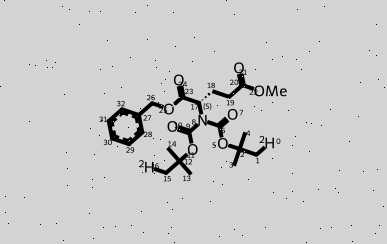 [2H]CC(C)(C)OC(=O)N(C(=O)OC(C)(C)C[2H])[C@@H](CCC(=O)OC)C(=O)OCc1ccccc1